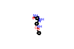 NC(=O)c1ccc2[nH]nc(-c3cccc(NC(=O)OCc4ccccc4)c3)c2c1